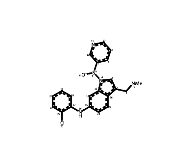 CNCc1cn([S+]([O-])c2cccnc2)c2cc(Nc3ccccc3Cl)ccc12